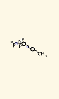 CCCc1ccc(/C=C/c2cc(F)c(O/C=C/C(F)F)c(F)c2)cc1